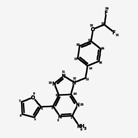 Nc1nc(-c2ccco2)c2nnn(Cc3ccc(OC(F)F)cc3)c2n1